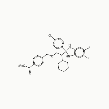 COC(=O)c1ccc(COCC(C2CCCCC2)C2(c3ccc(Cl)cc3)Nc3cc(F)c(F)cc3N2)cc1